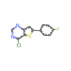 Fc1ccc(-c2cc3ncnc(Cl)c3s2)cc1